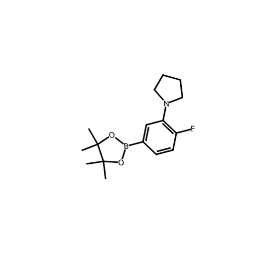 CC1(C)OB(c2ccc(F)c(N3CCCC3)c2)OC1(C)C